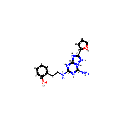 Nc1nc(NCCc2ccccc2O)nc2nc(-c3ccco3)nn12